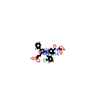 COC(=O)CNC(=O)c1ccc2c(c1)nc(C(CCc1ccccc1)NC(=O)CCC(=O)O)n2Cc1ccccc1Cl